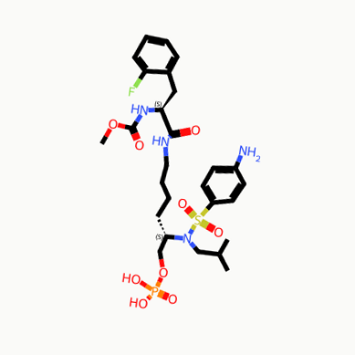 COC(=O)N[C@@H](Cc1ccccc1F)C(=O)NCCCC[C@@H](COP(=O)(O)O)N(CC(C)C)S(=O)(=O)c1ccc(N)cc1